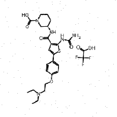 CCN(CC)CCOc1ccc(-c2cc(C(=O)N[C@@H]3CCCN(C(=O)O)C3)c(NC(N)=O)s2)cc1.O=C(O)C(F)(F)F